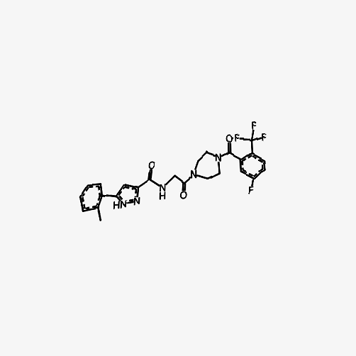 Cc1ccccc1-c1cc(C(=O)NCC(=O)N2CCN(C(=O)c3cc(F)ccc3C(F)(F)F)CC2)n[nH]1